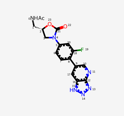 CC(=O)NC[C@H]1CN(c2ccc(-c3cnc4nn[nH]c4c3)c(F)c2)C(=O)O1